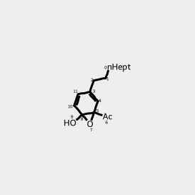 CCCCCCCCCC1=CC2(C(C)=O)OC2(O)C=C1